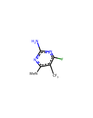 CNc1nc(N)nc(F)c1C(F)(F)F